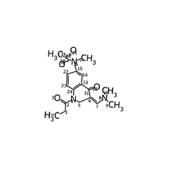 CCC(=O)N1C/C(=C/N(C)C)C(=O)c2cc(N(C)S(C)(=O)=O)ccc21